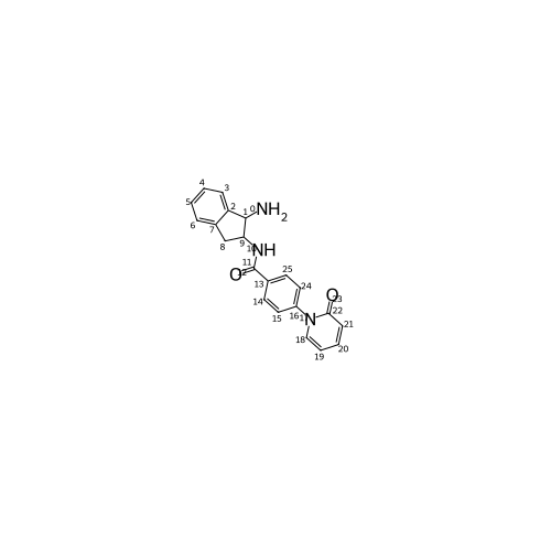 NC1c2ccccc2CC1NC(=O)c1ccc(-n2ccccc2=O)cc1